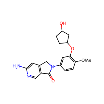 COc1ccc(N2Cc3cc(N)ncc3C2=O)cc1OC1CCC(O)C1